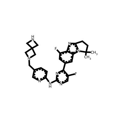 CC1(C)CCc2nc3c(F)cc(-c4nc(Nc5ccc(CN6CC7(CNC7)C6)cn5)ncc4F)cc3n21